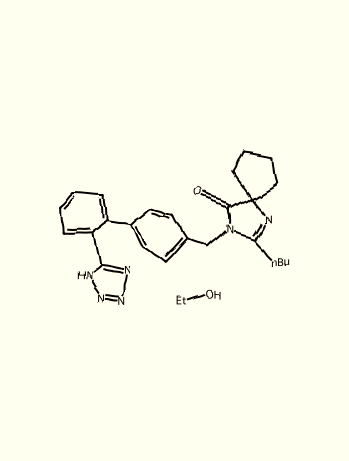 CCCCC1=NC2(CCCC2)C(=O)N1Cc1ccc(-c2ccccc2-c2nnn[nH]2)cc1.CCO